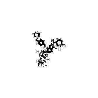 NCc1ccc2c(c1OCc1ccc(CN3CCOCC3)cc1)CN(C(=O)[C@H]1CCCC(=O)NC1=O)C2.O=C(O)C(F)(F)F.O=C(O)C(F)(F)F